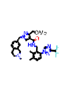 COCc1nn(Cc2ccc3c(c2)CN(C)CC3)cc1C(=O)NCc1c(-n2cnc(C(F)F)n2)ccc(C)c1C